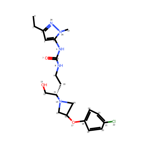 CCc1cc(NC(=O)NCC[C@@H](CO)N2CC(Oc3ccc(Cl)cc3)C2)n(C)n1